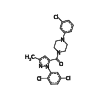 Cc1cc(C(=O)N2CCN(c3cccc(Cl)c3)CC2)n(-c2cc(Cl)ccc2Cl)n1